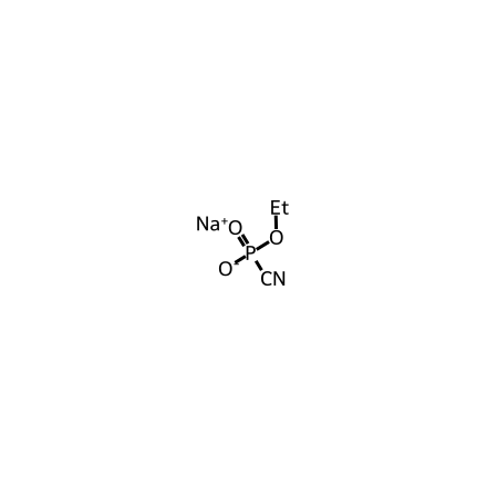 CCOP(=O)([O-])C#N.[Na+]